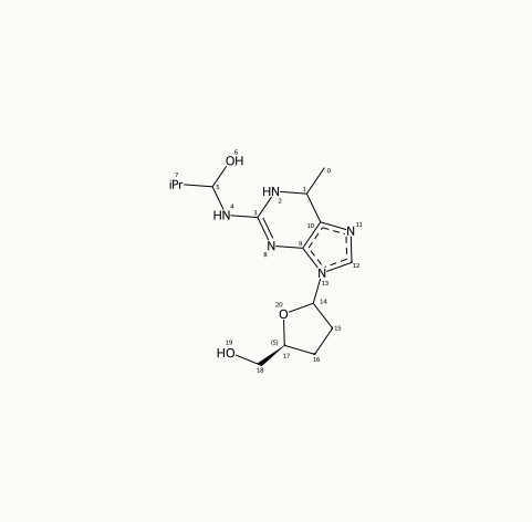 CC1NC(NC(O)C(C)C)=Nc2c1ncn2C1CC[C@@H](CO)O1